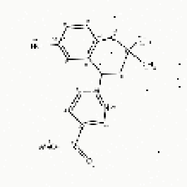 COC(=O)c1ccc(C2CC(C)(C)Oc3ccc(C#N)cc32)nc1